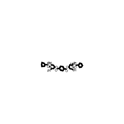 CC(ON1C(C(C)C)CC(OC(=O)c2ccc(C(=O)OC3CC(C(C)C)N(OC(C)c4ccccc4)C(C(C)C)C3)cc2)CC1C(C)C)c1ccccc1